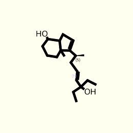 CCC(O)(/C=C/C[C@H](C)C1=CCC2C(O)CCCC12C)CC